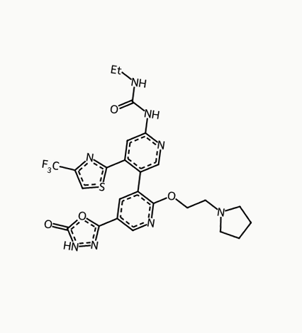 CCNC(=O)Nc1cc(-c2nc(C(F)(F)F)cs2)c(-c2cc(-c3n[nH]c(=O)o3)cnc2OCCN2CCCC2)cn1